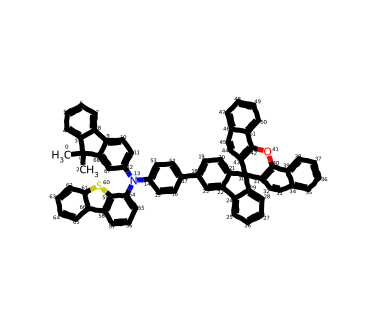 CC1(C)c2ccccc2-c2ccc(N(c3ccc(-c4ccc5c(c4)-c4ccccc4C54c5ccc6ccccc6c5Oc5c4ccc4ccccc54)cc3)c3cccc4c3SC3C=CC=CC43)cc21